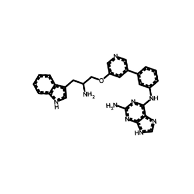 Nc1nc(Nc2cccc(-c3cncc(OCC(N)Cc4c[nH]c5ccccc45)c3)c2)c2nc[nH]c2n1